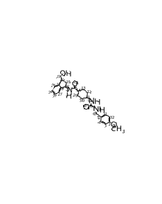 COc1ccc(CNC(=O)NC2CCC(C(=O)NC3CC(CO)c4ccccc43)CC2)cc1